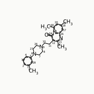 Cc1cccc(N2CCN(CCc3c(C)nc4cc(C)cc(C)n4c3=O)CC2)c1